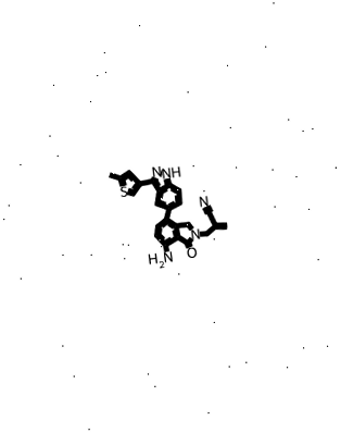 C=C(C#N)CN1Cc2c(-c3ccc4[nH]nc(-c5csc(C)c5)c4c3)ccc(N)c2C1=O